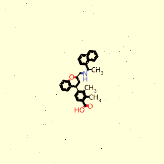 Cc1c(C(=O)O)ccc([C@@H]2C[C@H](CN[C@H](C)c3cccc4ccccc34)Oc3ccccc32)c1C